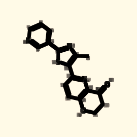 Cc1nc(-c2cccnc2)sc1-c1ccc2c(n1)C(=O)CCO2